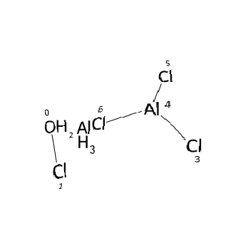 OCl.[AlH3].[Cl][Al]([Cl])[Cl]